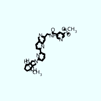 C[C@@]12CC[C@@H](O1)[C@@H]1CN(c3cccc(-c4ccc5cnc(CNC(=O)c6cncc(S(C)(=O)=O)c6)cc5n4)n3)C[C@@H]12